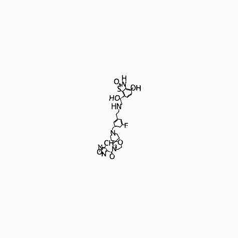 Cc1nonc1C(=O)N1CCOC2(CCN(Cc3cc(F)cc(CCNCC(O)c4ccc(O)c5[nH]c(=O)sc45)c3)CC2)C1